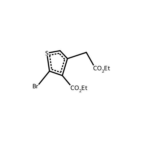 CCOC(=O)Cc1csc(Br)c1C(=O)OCC